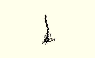 CCCCCCCCCCCC(=O)Oc1cc(O)c(F)c(F)c1